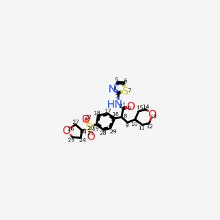 O=C(Nc1nccs1)C(CC1CCOCC1)c1ccc(S(=O)(=O)[C@@H]2CCOC2)cc1